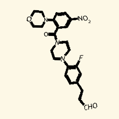 O=CCCc1ccc(N2CCN(C(=O)c3cc([N+](=O)[O-])ccc3N3CCOCC3)CC2)c(F)c1